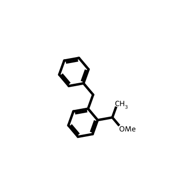 COC(C)c1ccccc1Cc1ccccc1